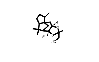 C[C@@H]1CCC2C(C)(C)[C@H]3C[C@]21C[C@@H]1OC(C)(CO)O[C@@]13C